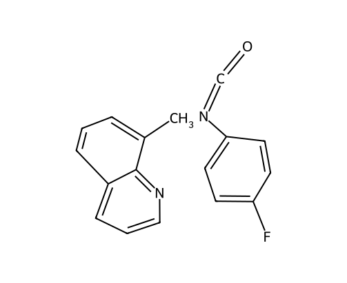 Cc1cccc2cccnc12.O=C=Nc1ccc(F)cc1